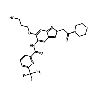 N#CCCCOc1cc2nn(CC(=O)N3CCOCC3)cc2cc1NC(=O)c1cccc(C(F)(F)P)n1